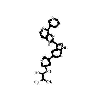 CC(C)C(O)Nc1cncc(-c2cnc3[nH]nc(-c4nc5c(-c6cccnc6)nccc5[nH]4)c3c2)c1